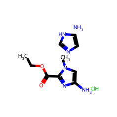 CCOC(=O)c1nc(N)cn1C.Cl.N.c1c[nH]cn1